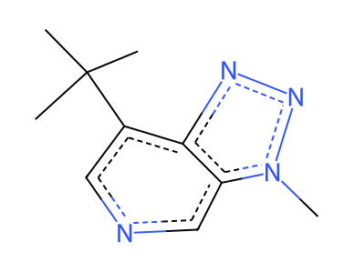 Cn1nnc2c(C(C)(C)C)cncc21